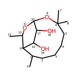 CC1CCCCC(C)(C)OC2OC(C)C1C(O)C2O